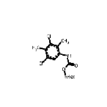 CCCCCCOC(=O)Nc1cc(Cl)c(C)c(Cl)c1C